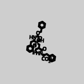 CC(C)CC(CP(=O)(O)C(Cc1ccccc1)NC(=O)OCc1ccccc1)C(=O)N[C@@H](Cc1ccccc1)C(=O)O